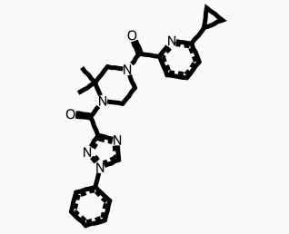 CC1(C)CN(C(=O)c2cccc(C3CC3)n2)CCN1C(=O)c1ncn(-c2ccccc2)n1